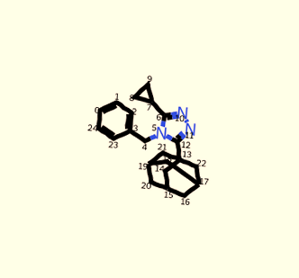 c1ccc(Cn2c(C3CC3)nnc2C23CC4CC(CC(C4)C2)C3)cc1